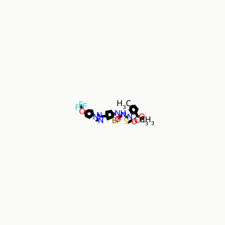 COC(C)c1ccc(C)cc1N1C(=O)CSC1=NC(=O)Nc1ccc(-c2ncn(-c3ccc(OC(F)(F)F)cc3)n2)cc1Br